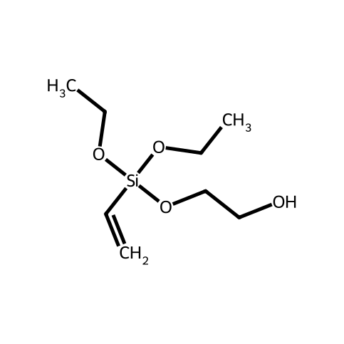 C=C[Si](OCC)(OCC)OCCO